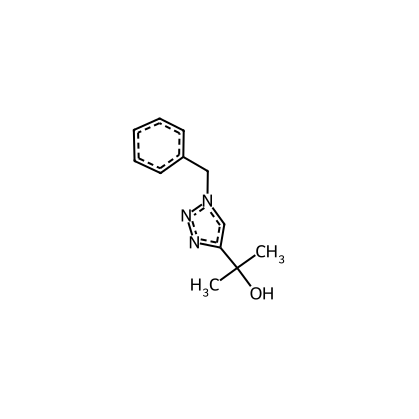 CC(C)(O)c1cn(Cc2ccccc2)nn1